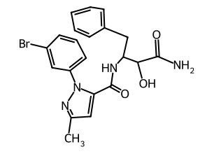 Cc1cc(C(=O)NC(Cc2ccccc2)C(O)C(N)=O)n(-c2cccc(Br)c2)n1